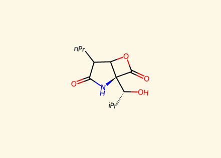 CCCC1C(=O)N[C@]2([C@H](O)C(C)C)C(=O)OC12